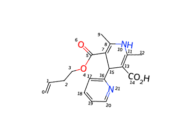 C=CCCOC(=O)C1=C(C)NC(C)=C(C(=O)O)C1c1ccccn1